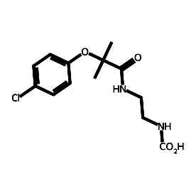 CC(C)(Oc1ccc(Cl)cc1)C(=O)NCCNC(=O)O